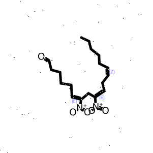 CCCCC/C=C\C/C=C(\C/C(=C\CCCC[C]=O)[N+](=O)[O-])[N+](=O)[O-]